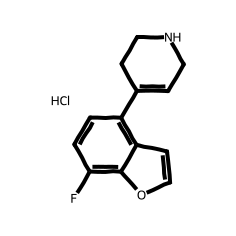 Cl.Fc1ccc(C2=CCNCC2)c2ccoc12